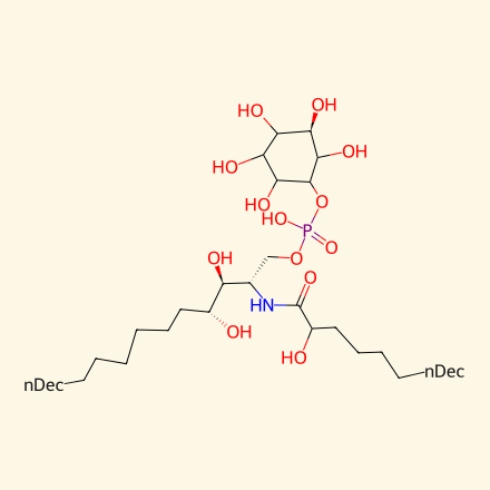 CCCCCCCCCCCCCCCC[C@@H](O)[C@@H](O)[C@H](COP(=O)(O)OC1C(O)C(O)C(O)[C@@H](O)C1O)NC(=O)C(O)CCCCCCCCCCCCCC